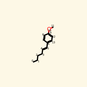 CCCC/C=C/c1ccc(OC)cc1